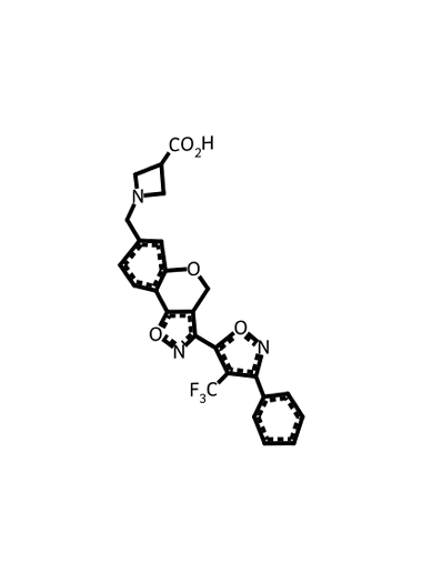 O=C(O)C1CN(Cc2ccc3c(c2)OCc2c(-c4onc(-c5ccccc5)c4C(F)(F)F)noc2-3)C1